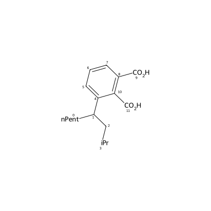 CCCCCC(CC(C)C)c1cccc(C(=O)O)c1C(=O)O